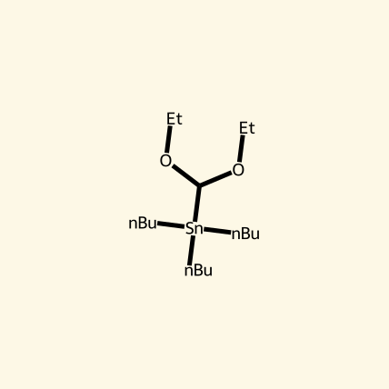 CCC[CH2][Sn]([CH2]CCC)([CH2]CCC)[CH](OCC)OCC